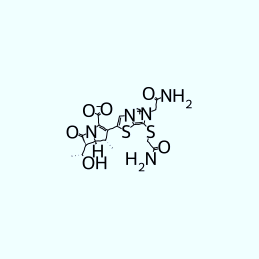 C[C@@H](O)[C@H]1C(=O)N2C(C(=O)[O-])=C(c3c[n+]4cn(CC(N)=O)c(SCC(N)=O)c4s3)[C@H](C)[C@H]12